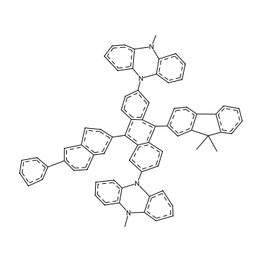 CN1c2ccccc2N(c2ccc3c(-c4ccc5cc(-c6ccccc6)ccc5c4)c4cc(N5c6ccccc6N(C)c6ccccc65)ccc4c(-c4ccc5c(c4)C(C)(C)c4ccccc4-5)c3c2)c2ccccc21